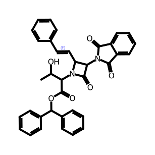 CC(O)C(C(=O)OC(c1ccccc1)c1ccccc1)N1C(=O)C(N2C(=O)c3ccccc3C2=O)C1/C=C/c1ccccc1